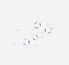 COC[C@@H](C)n1c(-c2cnc(OC)nc2OC)cc2c1C(c1ccc(Cl)cc1)N(c1cc(Cl)c(=O)n(C)c1)C2=O